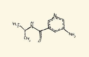 CC(C)NC(=O)c1cncc(N)c1